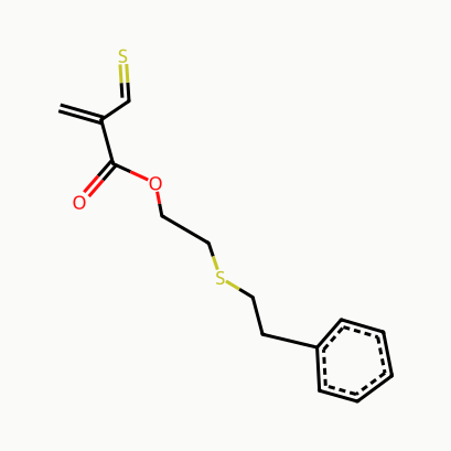 C=C(C=S)C(=O)OCCSCCc1ccccc1